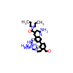 CCCN(CCC)C(=O)C1=Cc2ccc(-c3ccc(C=O)c(/C=C\N(C)CN(NN)NNC)c3)cc2N=C(N)C1